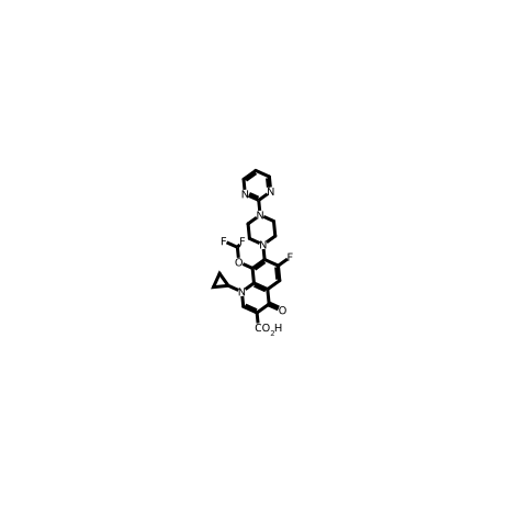 O=C(O)c1cn(C2CC2)c2c(OC(F)F)c(N3CCN(c4ncccn4)CC3)c(F)cc2c1=O